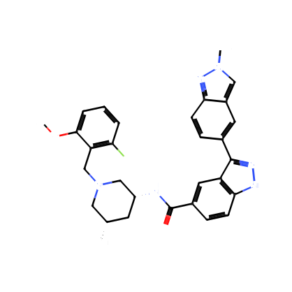 COc1cccc(F)c1CN1C[C@@H](C)C[C@@H](NC(=O)c2ccc3[nH]nc(-c4ccc5nn(C)cc5c4)c3c2)C1